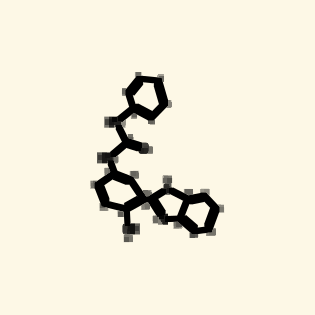 O=C(Nc1ccccc1)Nc1ccc(O)c(-c2nc3ccccc3s2)c1